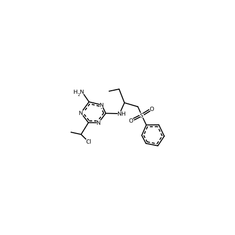 CCC(CS(=O)(=O)c1ccccc1)Nc1nc(N)nc(C(C)Cl)n1